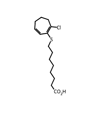 O=C(O)CCCCCCCSC1=C(Cl)CCCC=C1